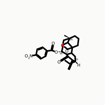 C=C1C(=O)[C@]23CC[C@H]1CC2C12CCC[C@@](C)(COC1=O)C2C[C@H]3OC(=O)c1ccc([N+](=O)[O-])cc1